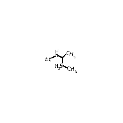 CCN[C](C)[SiH2]C